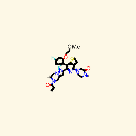 C=CC(=O)N1Cc2cc(-c3nc(N4CCN(C)C(=O)C4)c4ccsc4c3-c3c(F)cc(F)cc3OCCOC)nn2C[C@H]1C